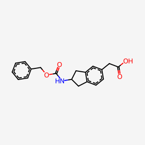 O=C(O)Cc1ccc2c(c1)CC(NC(=O)OCc1ccccc1)C2